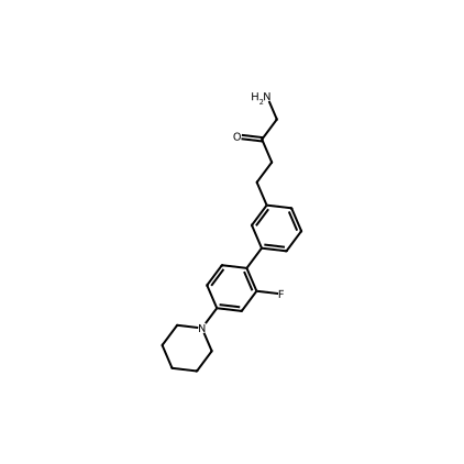 NCC(=O)CCc1cccc(-c2ccc(N3CCCCC3)cc2F)c1